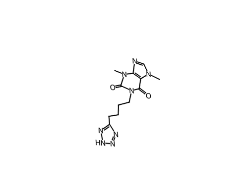 Cn1cnc2c1c(=O)n(CCCCc1nn[nH]n1)c(=O)n2C